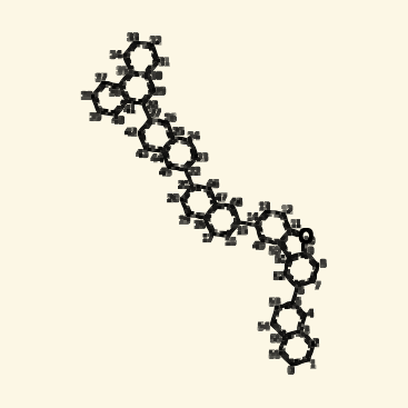 c1ccc2cc(-c3ccc4oc5ccc(-c6ccc7ccc(-c8ccc9cc(-c%10cc%11ccccc%11c%11ccccc%10%11)ccc9c8)cc7c6)cc5c4c3)ccc2c1